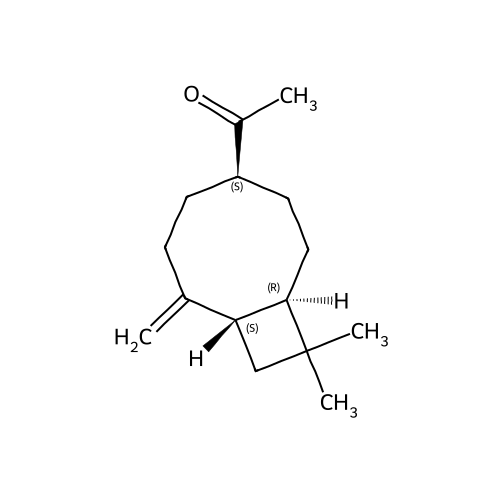 C=C1CC[C@@H](C(C)=O)CC[C@@H]2[C@@H]1CC2(C)C